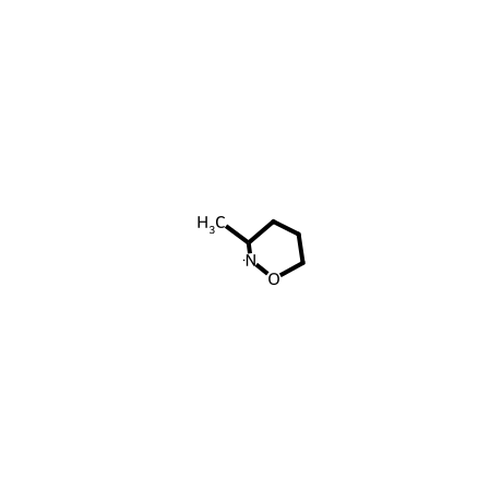 CC1CCCO[N]1